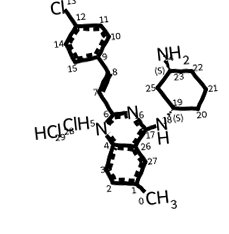 Cc1ccc2nc(C=Cc3ccc(Cl)cc3)nc(N[C@H]3CCC[C@H](N)C3)c2c1.Cl.Cl